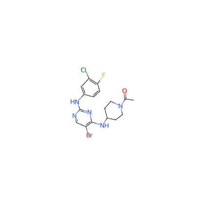 CC(=O)N1CCC(Nc2nc(Nc3ccc(F)c(Cl)c3)ncc2Br)CC1